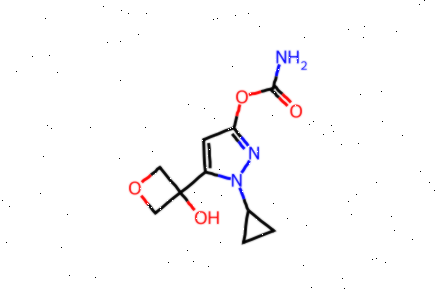 NC(=O)Oc1cc(C2(O)COC2)n(C2CC2)n1